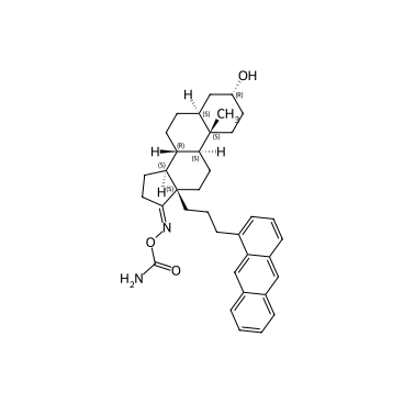 C[C@]12CC[C@@H](O)C[C@@H]1CC[C@H]1[C@@H]3CCC(=NOC(N)=O)[C@@]3(CCCc3cccc4cc5ccccc5cc34)CC[C@@H]12